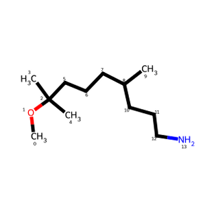 COC(C)(C)CCCC(C)CCCN